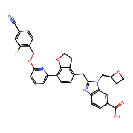 N#Cc1ccc(COc2cccc(-c3ccc(Cc4nc5ccc(C(=O)O)cc5n4C[C@@H]4CCO4)c4c3OCC4)n2)c(F)c1